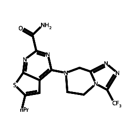 CCCc1cc2c(N3CCn4c(nnc4C(F)(F)F)C3)nc(C(N)=O)nc2s1